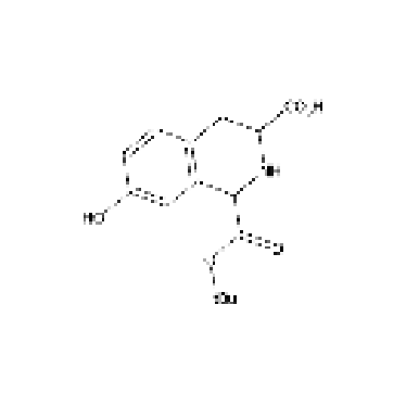 CC(C)(C)OC(=O)C1NC(C(=O)O)Cc2ccc(O)cc21